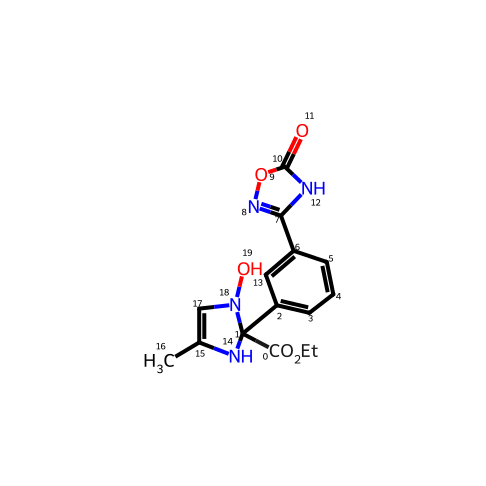 CCOC(=O)C1(c2cccc(-c3noc(=O)[nH]3)c2)NC(C)=CN1O